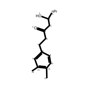 CCCC(O)CC(=O)CCc1ccc(C)c(C)c1